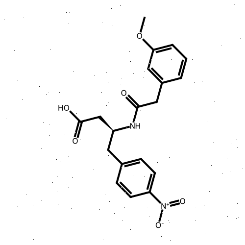 COc1cccc(CC(=O)N[C@H](CC(=O)O)Cc2ccc([N+](=O)[O-])cc2)c1